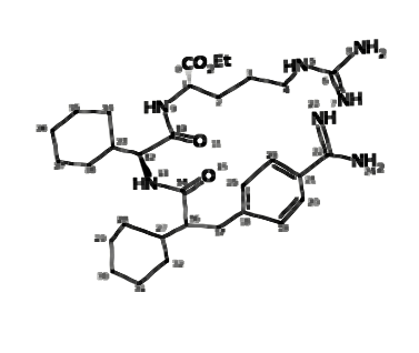 CCOC(=O)[C@H](CCCNC(=N)N)NC(=O)[C@@H](NC(=O)C(Cc1ccc(C(=N)N)cc1)C1CCCCC1)C1CCCCC1